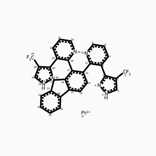 FC(F)(F)c1c[nH]nc1-c1cccnc1-c1ccc2c(c1-c1ncccc1-c1n[nH]cc1C(F)(F)F)Cc1ccccc1-2.[Pt+2]